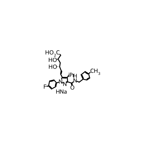 Cc1ccc(CNC(=O)c2nn(-c3ccc(F)cc3)c(/C=C/[C@H](O)C[C@@H](O)CC(=O)O)c2C(C)C)cc1.[NaH]